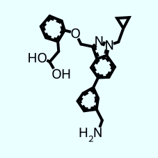 NCc1cccc(-c2ccc3c(c2)c(COc2ccccc2CC(O)O)nn3CC2CC2)c1